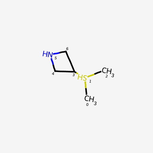 C[SH](C)C1CNC1